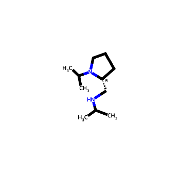 CC(C)NC[C@H]1CCCN1C(C)C